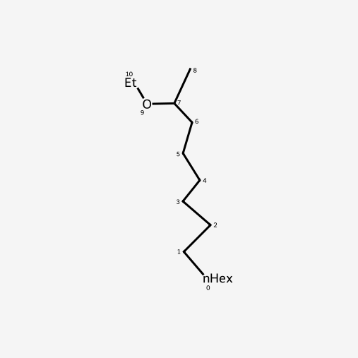 CCCCCCCCCCCCC(C)OCC